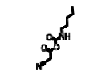 CCCCCNC(=O)OC(=O)CC#N